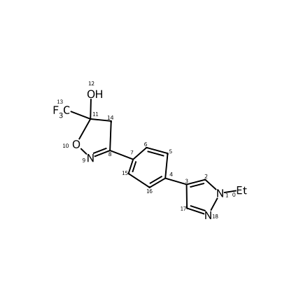 CCn1cc(-c2ccc(C3=NOC(O)(C(F)(F)F)C3)cc2)cn1